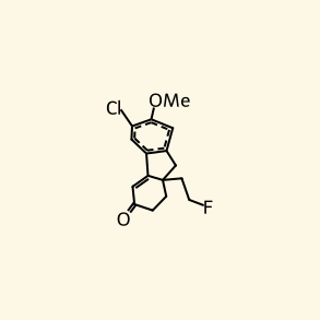 COc1cc2c(cc1Cl)C1=CC(=O)CCC1(CCF)C2